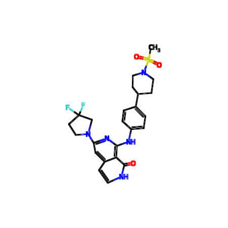 CS(=O)(=O)N1CCC(c2ccc(Nc3nc(N4CCC(F)(F)C4)cc4cc[nH]c(=O)c34)cc2)CC1